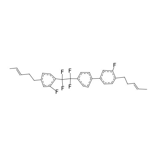 C/C=C/CCc1ccc(C(F)(F)C(F)(F)c2ccc(-c3ccc(CC/C=C/C)c(F)c3)cc2)c(F)c1